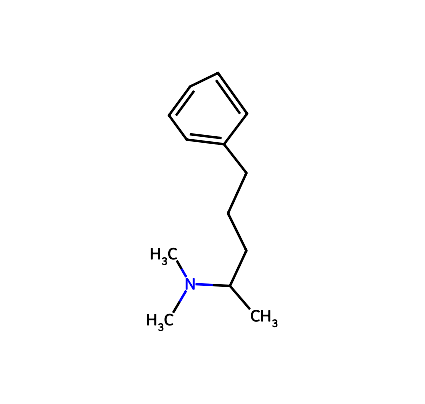 CC(CCCc1ccccc1)N(C)C